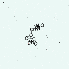 CCc1nc(-c2ccccc2)nnc1-c1cccc(-c2ccc3c(c2)-c2ccccc2C32c3ccccc3-n3c4ccccc4c4cccc2c43)c1